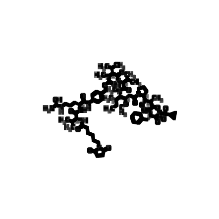 CC[C@H](C)[C@@H]([C@@H](CC(=O)N1CCC[C@H]1[C@H](OC)[C@@H](C)C(=O)N[C@@H](Cc1ccccc1)C(=O)NS(=O)(=O)C1CC1)OC)N(C)C(=O)[C@@H](NC(=O)[C@H](C(C)C)N(C)C(=O)OCc1ccc(NC(=O)[C@H](CCCNC(N)O)NC(=O)[C@@H](NC(=O)CCCCCN2C(=O)C=CC2=O)C(C)C)cc1)C(C)C